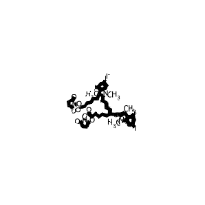 CC1C(C=CC(=CC=CC=C2N(C)c3cc(I)cc(I)c3C2(C)CCCCCC(=O)ON2C(=O)CCC2=O)CCCCCC(=O)ON2C(=O)CCC2=O)=[N+](C)c2cc(I)cc(I)c21.[I-]